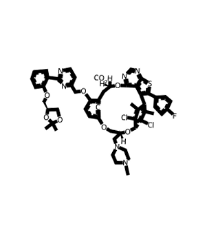 Cc1c(Cl)c2c(Cl)c(C)c1-c1c(-c3ccc(F)cc3)sc3ncnc(c13)O[C@@H](C(=O)O)Cc1cc(ccc1OCc1ccnc(-c3ccccc3OC[C@H]3COC(C)(C)O3)n1)OC[C@@H](CN1CCN(C)CC1)O2